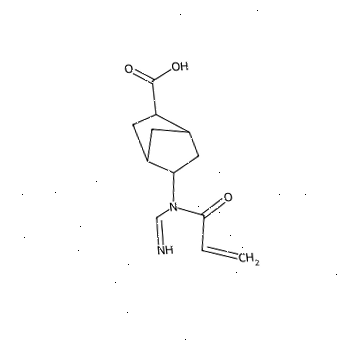 C=CC(=O)N(C=N)C1CC2CC1CC2C(=O)O